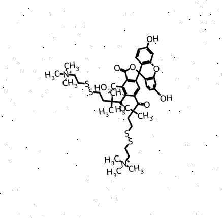 CC(C)(CCSSCC[N+](C)(C)C)C(=O)c1cc2c(c(C(=O)O)c1C(=O)C(C)(C)CCSSCC[N+](C)(C)C)C(=O)OC21c2ccc(O)cc2Oc2cc(O)ccc21